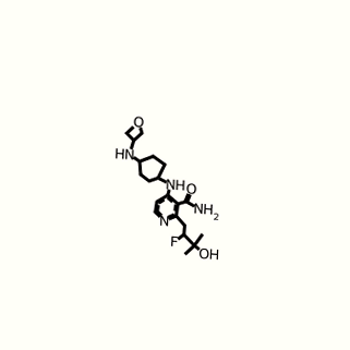 CC(C)(O)C(F)Cc1nccc(NC2CCC(NC3COC3)CC2)c1C(N)=O